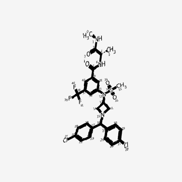 CNC(=O)[C@H](C)NC(=O)c1cc(N(C2CN(C(c3ccc(Cl)cc3)c3ccc(Cl)cc3)C2)S(C)(=O)=O)cc(C(F)(F)F)c1